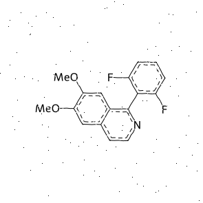 COc1cc2ccnc(-c3c(F)cccc3F)c2cc1OC